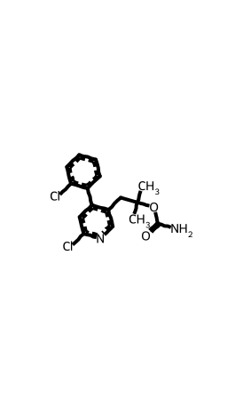 CC(C)(Cc1cnc(Cl)cc1-c1ccccc1Cl)OC(N)=O